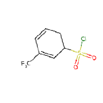 O=S(=O)(Cl)C1C=C(C(F)(F)F)C=CC1